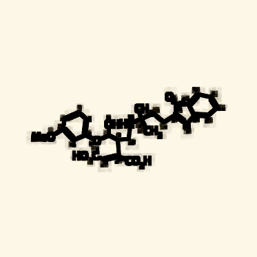 COc1cccc(OC(O)C(CNC(C)(C)CCC2=Nc3ccccc3[N+]2=O)/C(=C\C(=O)O)C(=O)O)c1